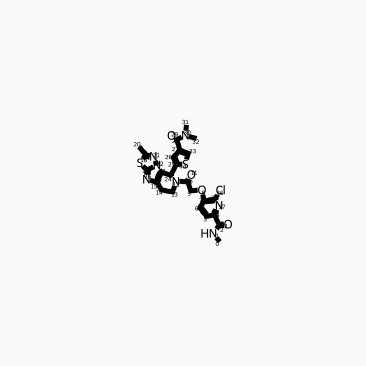 CNC(=O)c1ccc(OCC(=O)N2CCc3nc4sc(C)nn4c3C2c2cc(C(=O)N(C)C)cs2)c(Cl)n1